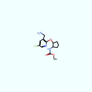 CC(C)(C)OC(=O)NC1CCCC1Oc1ncc(F)cc1CN